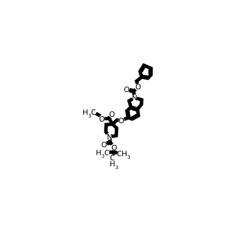 CCOC(=O)C1(COc2ccc3c(c2)CN(C(=O)OCc2ccccc2)CC3)CCN(C(=O)OC(C)(C)C)CC1